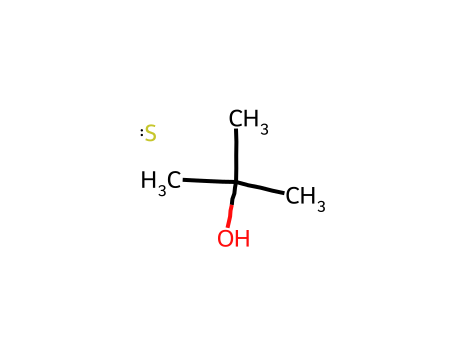 CC(C)(C)O.[S]